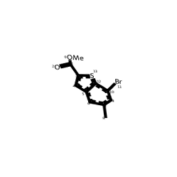 COC(=O)c1cc2cc(C)cc(Br)c2s1